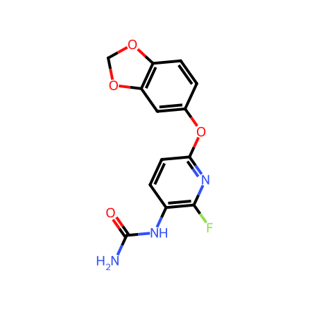 NC(=O)Nc1ccc(Oc2ccc3c(c2)OCO3)nc1F